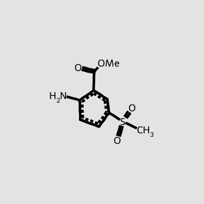 COC(=O)c1cc(S(C)(=O)=O)ccc1N